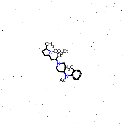 CCOC(=O)N1C(C)CCC1CC(CC)N1CCC(N(C(C)=O)c2ccccc2C)CC1